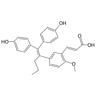 CCCC(=C(c1ccc(O)cc1)c1ccc(O)cc1)c1ccc(OC)c(/C=C/C(=O)O)c1